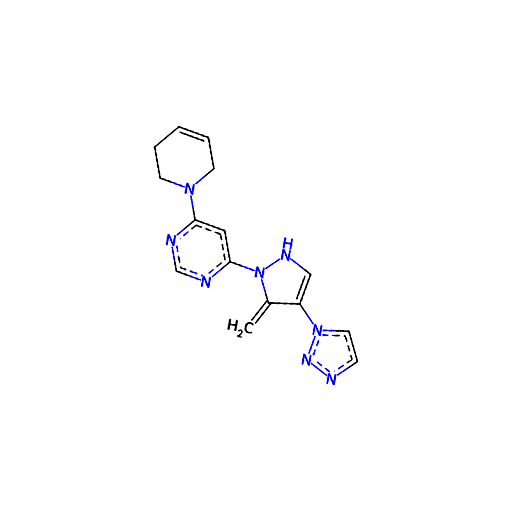 C=C1C(n2ccnn2)=CNN1c1cc(N2CC=CCC2)ncn1